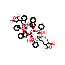 C[Si]1(CCCC2CC(=O)OC2=O)O[Si](O)(c2ccccc2)O[Si]2(c3ccccc3)O[Si]3(c4ccccc4)O[SiH](c4ccccc4)O[SiH](c4ccccc4)O[Si](c4ccccc4)(O[Si](C)(CCCC4CC(=O)OC4=O)O3)O[Si](c3ccccc3)(O[Si](O)(c3ccccc3)O1)O2